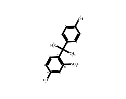 CC(C)(c1ccc(O)cc1)c1ccc(O)cc1S(=O)(=O)O